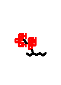 CCCCC(CC)COP(=O)(O)CCP(=O)(O)O